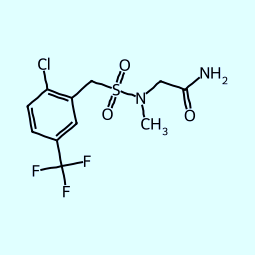 CN(CC(N)=O)S(=O)(=O)Cc1cc(C(F)(F)F)ccc1Cl